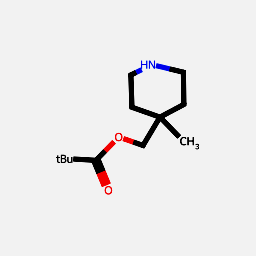 CC1(COC(=O)C(C)(C)C)CCNCC1